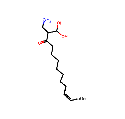 CCCCCCCC/C=C\CCCCCCCC(=O)C(CN)C(O)O